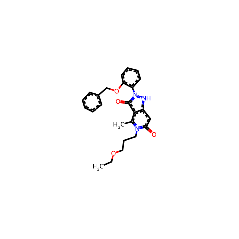 CCOCCCn1c(C)c2c(=O)n(-c3ccccc3OCc3ccccc3)[nH]c2cc1=O